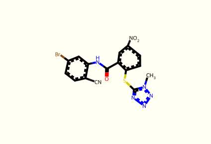 Cn1nnnc1Sc1ccc([N+](=O)[O-])cc1C(=O)Nc1cc(Br)ccc1C#N